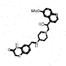 COc1ccc2nccc(C(O)CN3CCC(NCc4ccc5c(c4)NC(=O)CS5)CC3)c2c1